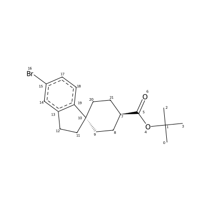 CC(C)(C)OC(=O)[C@H]1CC[C@@]2(CCc3cc(Br)ccc32)CC1